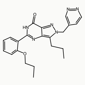 CCCOc1ccccc1-c1nc2c(CCC)n(Cc3ccnnc3)nc2c(=O)[nH]1